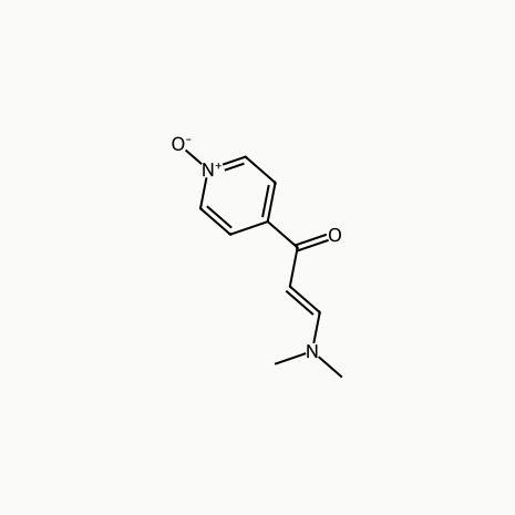 CN(C)/C=C/C(=O)c1cc[n+]([O-])cc1